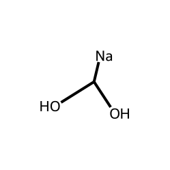 O[CH](O)[Na]